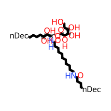 CCCCCCCCCCCCCC[C@@H](O)[C@@H](O)[C@H](CO[C@H]1OC(CO)[C@H](O)[C@H](O)C1O)NC(=O)CCCCCCCCCCNC(=O)CCCCCCCCCCCCC